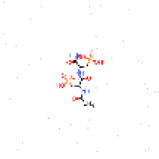 CC(=O)NC(CP(=O)(O)O)C(=O)NC(CP(=O)(O)O)C(N)=O